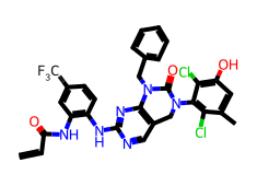 C=CC(=O)Nc1cc(C(F)(F)F)ccc1Nc1ncc2c(n1)N(Cc1ccccc1)C(=O)N(c1c(Cl)c(C)cc(O)c1Cl)C2